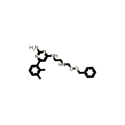 Cc1cccc(-c2cc(NCCNCOOCc3ccccc3)nc(N)n2)c1C